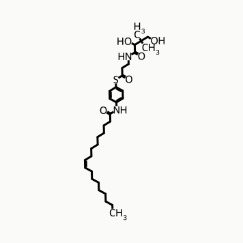 CCCCCCCC/C=C\CCCCCCCC(=O)Nc1ccc(SC(=O)CCNC(=O)C(O)C(C)(C)CO)cc1